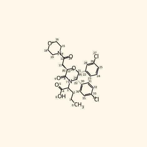 CCCC(C(=O)O)N1C(=O)[C@@H](CC(=O)N2CCOCC2)O[C@H](c2cccc(Cl)c2)[C@@H]1c1ccc(Cl)cc1